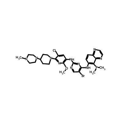 COc1nc(N2CCC(N3CCN(C)CC3)CC2)c(Cl)cc1Nc1ncc(Br)c(Nc2ccc3nccnc3c2P(C)C)n1